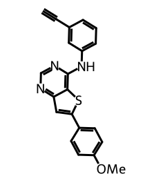 C#Cc1cccc(Nc2ncnc3cc(-c4ccc(OC)cc4)sc23)c1